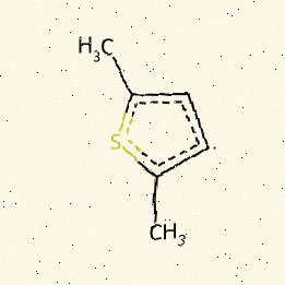 Cc1[c]cc(C)s1